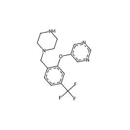 FC(F)(F)c1ccc(CN2CCNCC2)c(Oc2cncnc2)c1